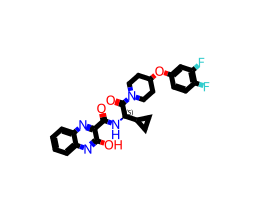 O=C(N[C@H](C(=O)N1CCC(Oc2ccc(F)c(F)c2)CC1)C1CC1)c1nc2ccccc2nc1O